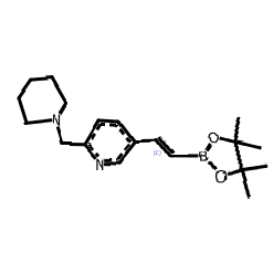 CC1(C)OB(/C=C/c2ccc(CN3CCCCC3)nc2)OC1(C)C